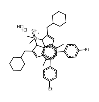 CCc1ccc(-c2cc(C)cc3c2C=C(CC2CCCCC2)[CH]3[Zr]([CH3])([CH3])(=[SiH2])[CH]2C(CC3CCCCC3)=Cc3c(-c4ccc(CC)cc4)cc(C)cc32)cc1.Cl.Cl